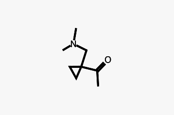 CC(=O)C1(CN(C)C)CC1